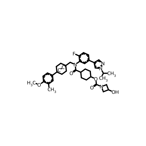 COc1ccc(C23CCC(CN(C(=O)C4CCC(OC(=O)N5CC(O)C5)CC4)c4cc(-c5cnn(C(C)C)c5)ccc4F)(CC2)CC3)cc1C